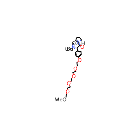 COCCOCCOCCOCCOCCOc1ccc([C@@H](C(=O)N2CCCC2)N(C(=O)O)C(C)(C)C)cc1